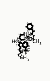 CNC[C@H](CC1CCCCC1)NC(=O)N1CCC[C@@H](C(O)(CCCCOC)c2cccc(C(F)(F)F)c2)C1